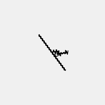 CCCCCCCCCCCCCCCCC(CCCCCCCCCCCCCCCC)C(C)C(C)C(C)C(C)C(=O)N(C)CCCCN(C)C